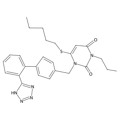 CCCCCSc1cc(=O)n(CCC)c(=O)n1Cc1ccc(-c2ccccc2-c2nnn[nH]2)cc1